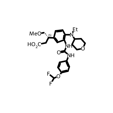 CCN(c1ccc([C@@H](COC)CC(=O)O)cc1NC(=O)Nc1ccc(OC(F)F)cc1)C1CCOCC1